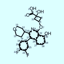 O=C(O)[C@]1(O)C[C@@H](Oc2nc(C3CCOCC3)c(-c3ccc(F)c(F)c3)c3cccc(O)c23)C1